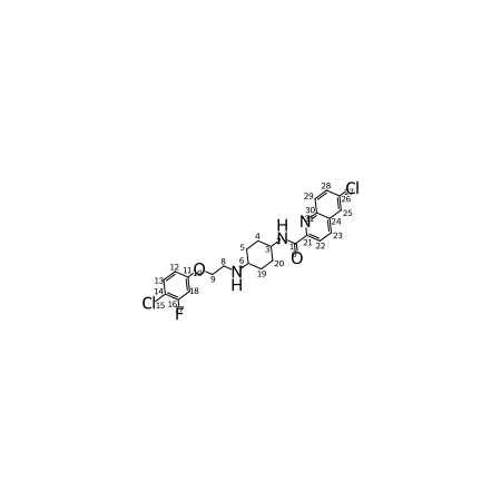 O=C(NC1CCC(NCCOc2ccc(Cl)c(F)c2)CC1)c1ccc2cc(Cl)ccc2n1